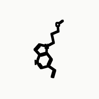 C=Cc1cnc2ccn(CCCOC)c2c1